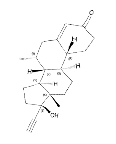 C#C[C@]1(O)CC[C@H]2[C@H]3[C@H](CC[C@@]21C)[C@H]1CCC(=O)C=C1C[C@H]3C